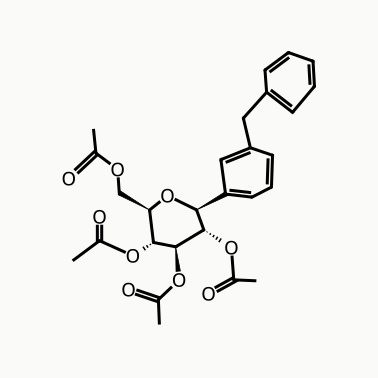 CC(=O)OC[C@H]1O[C@@H](c2cccc(Cc3ccccc3)c2)[C@H](OC(C)=O)[C@@H](OC(C)=O)[C@@H]1OC(C)=O